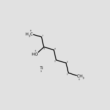 CCCCCC(O)CC.[Ti]